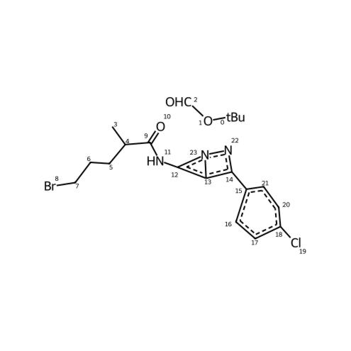 CC(C)(C)OC=O.CC(CCCBr)C(=O)Nc1c2c(-c3ccc(Cl)cc3)nn1-2